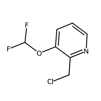 FC(F)Oc1cccnc1CCl